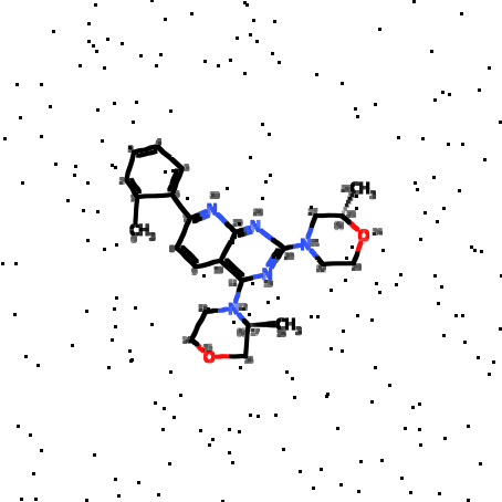 Cc1ccccc1-c1ccc2c(N3CCOC[C@@H]3C)nc(N3CCO[C@@H](C)C3)nc2n1